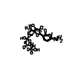 CC(F)[C@]1(COP(=O)(O)OP(=O)(O)OP(=O)(O)O)OC(n2ccc(N)nc2=O)[C@H](Cl)[C@@H]1O